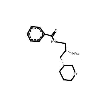 CN[C@@H](CNC(=O)c1c[c]ccc1)C[C@H]1CCCOC1